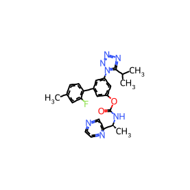 Cc1ccc(-c2cc(OC(=O)N[C@@H](C)c3cnccn3)cc(-n3nnnc3C(C)C)c2)c(F)c1